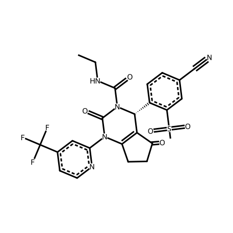 CCNC(=O)N1C(=O)N(c2cc(C(F)(F)F)ccn2)C2=C(C(=O)CC2)[C@H]1c1ccc(C#N)cc1S(C)(=O)=O